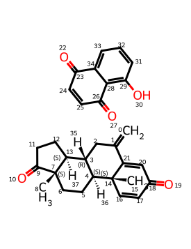 C=C1C[C@@H]2[C@H](CC[C@]3(C)C(=O)CC[C@@H]23)[C@@]2(C)C=CC(=O)C=C12.O=C1C=CC(=O)c2c(O)cccc21